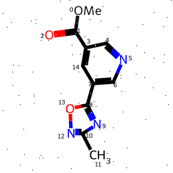 COC(=O)c1cncc(-c2nc(C)no2)c1